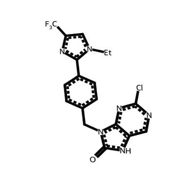 CCn1cc(C(F)(F)F)nc1-c1ccc(Cn2c(=O)[nH]c3cnc(Cl)nc32)cc1